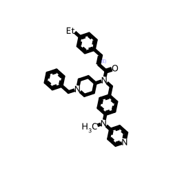 CCc1ccc(/C=C/C(=O)N(Cc2ccc(N(C)c3ccncc3)cc2)C2CCN(Cc3ccccc3)CC2)cc1